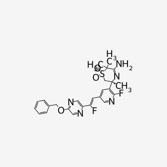 CC1(C)C(N)=N[C@](C)(c2cc(/C=C(\F)c3cnc(OCc4ccccc4)cn3)cnc2F)CS1(=O)=O